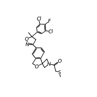 CSCC(=O)N1CC2(C1)OCc1cc(C3=NOC(C)(c4cc(Cl)c(F)c(Cl)c4)C3)ccc12